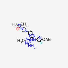 COc1ncc(Nc2nc3ccc(N4CCN(C(=O)N(C)C)CC4)cn3c2-c2nc(C)nc(N)n2)cc1F